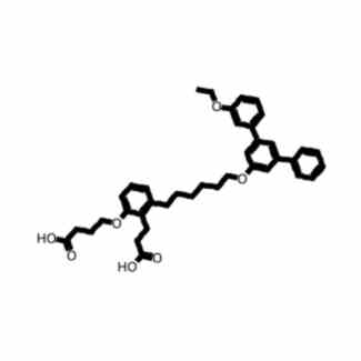 CCOc1cccc(-c2cc(OCCCCCCc3cccc(OCCCC(=O)O)c3CCC(=O)O)cc(-c3ccccc3)c2)c1